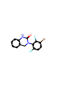 O=C1Nc2ccccc2CN1c1c(F)ccc(Br)c1F